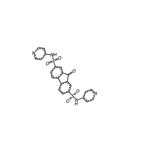 O=C1c2cc(S(=O)(=O)Nc3ccncc3)ccc2-c2ccc(S(=O)(=O)Nc3ccncc3)cc21